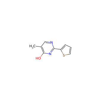 Cc1cnc(-c2cccs2)nc1O